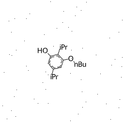 CCCCOc1cc(C(C)C)cc(O)c1C(C)C